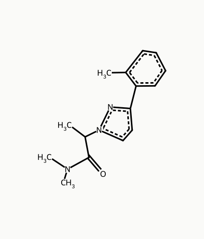 Cc1ccccc1-c1ccn(C(C)C(=O)N(C)C)n1